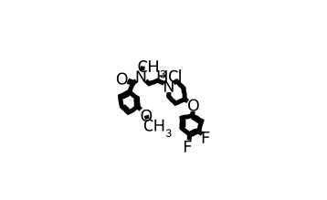 COc1cccc(C(=O)N(C)CCN2CCC(Oc3ccc(F)c(F)c3)CC2)c1.Cl